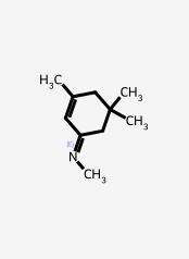 C/N=C1/C=C(C)CC(C)(C)C1